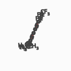 CC1(C)OB(c2ccc(C34CCC(c5ccc(-c6ccc(C78CCC(c9ccc(-c%10c(F)cc(-c%11c(F)cc(C(F)(F)F)cc%11F)cc%10F)cc9)(CC7)CC8)cc6)cc5)(CC3)CC4)cc2)OC1(C)C